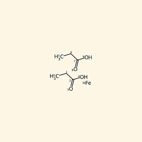 CCC(=O)O.CCC(=O)O.[Fe]